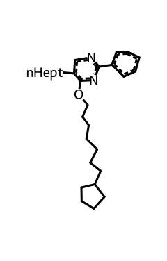 CCCCCCCc1cnc(-c2ccccc2)nc1OCCCCCCCC1CCCC1